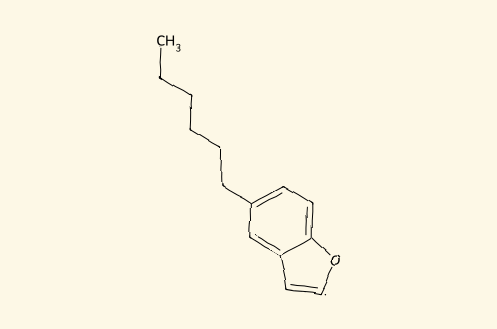 CCCCCCc1ccc2o[c]cc2c1